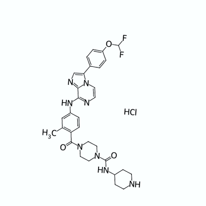 Cc1cc(Nc2nccn3c(-c4ccc(OC(F)F)cc4)cnc23)ccc1C(=O)N1CCN(C(=O)NC2CCNCC2)CC1.Cl